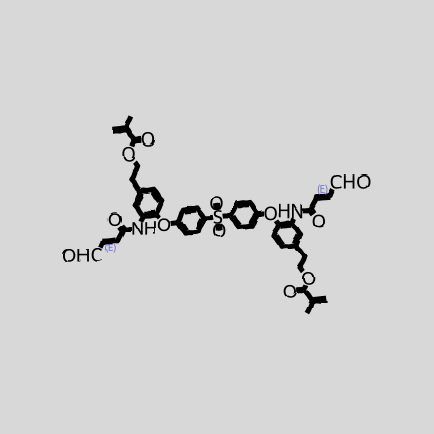 C=C(C)C(=O)OCCc1ccc(Oc2ccc(S(=O)(=O)c3ccc(Oc4ccc(CCOC(=O)C(=C)C)cc4NC(=O)/C=C/C=O)cc3)cc2)c(NC(=O)/C=C/C=O)c1